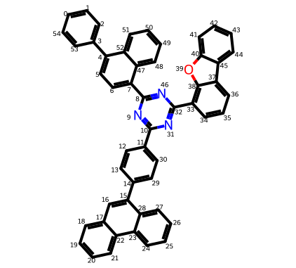 c1ccc(-c2ccc(-c3nc(-c4ccc(-c5cc6ccccc6c6ccccc56)cc4)nc(-c4cccc5c4oc4ccccc45)n3)c3ccccc23)cc1